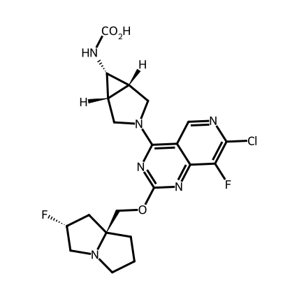 O=C(O)N[C@@H]1[C@@H]2CN(c3nc(OC[C@@]45CCCN4C[C@H](F)C5)nc4c(F)c(Cl)ncc34)C[C@@H]21